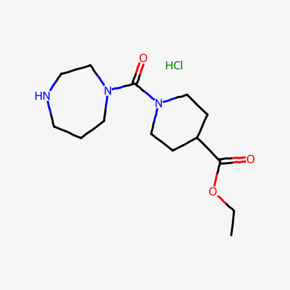 CCOC(=O)C1CCN(C(=O)N2CCCNCC2)CC1.Cl